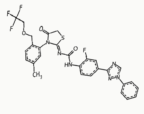 Cc1ccc(COCC(F)(F)F)c(N2C(=O)CSC2=NC(=O)Nc2ccc(-c3ncn(-c4ccccc4)n3)cc2F)c1